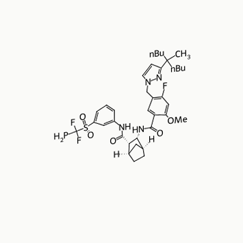 CCCCC(C)(CCCC)c1ccn(Cc2cc(C(=O)N[C@@H]3[C@H]4CC[C@H](C4)[C@@H]3C(=O)Nc3cccc(S(=O)(=O)C(F)(F)P)c3)c(OC)cc2F)n1